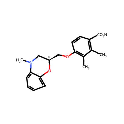 Cc1c(OC[C@@H]2CN(C)c3ccccc3O2)ccc(C(=O)O)c1C